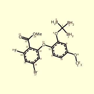 BC(B)(B)Oc1cc(OC(F)(F)F)ccc1Oc1cc(Br)cc(F)c1C(=O)OC